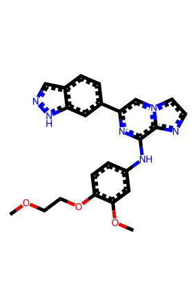 COCCOc1ccc(Nc2nc(-c3ccc4cn[nH]c4c3)cn3ccnc23)cc1OC